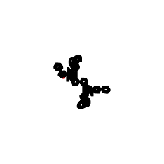 c1ccc(-c2ccc(-c3cc(-c4cccc(-c5cccc(-c6nc(-c7cccc(-c8ccccc8)c7)nc(-c7ccc8c(c7)oc7ccccc78)n6)c5)c4)nc(-c4ccc5c(c4)oc4ccccc45)n3)cc2)cc1